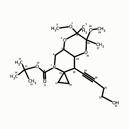 COC1(C)OC2CN(C(=O)OC(C)(C)C)C3(CC3)C(C#CCCO)C2OC1(C)OC